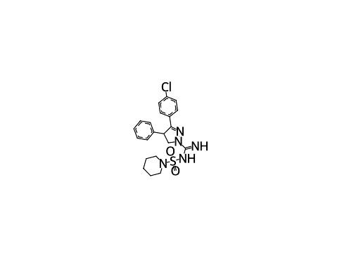 N=C(NS(=O)(=O)N1CCCCC1)N1CC(c2ccccc2)C(c2ccc(Cl)cc2)=N1